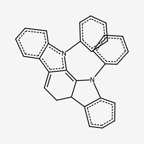 C1=c2c(n(-c3ccccc3)c3ccccc23)=C2C(C1)c1ccccc1N2c1ccccc1